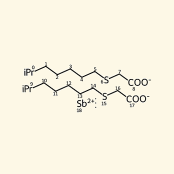 CC(C)CCCCCSCC(=O)[O-].CC(C)CCCCCSCC(=O)[O-].[Sb+2]